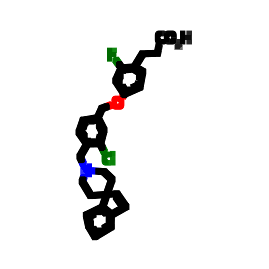 O=C(O)CCc1ccc(OCc2ccc(CN3CCC4(C=Cc5ccccc54)CC3)c(Cl)c2)cc1F